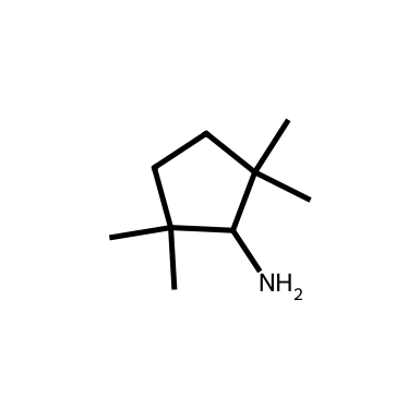 CC1(C)CCC(C)(C)C1N